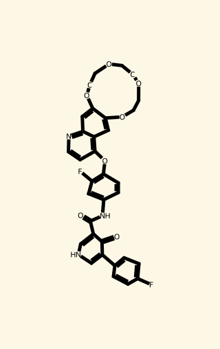 O=C(Nc1ccc(Oc2ccnc3cc4c(cc23)OCCOCCOCCO4)c(F)c1)c1c[nH]cc(-c2ccc(F)cc2)c1=O